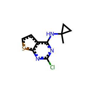 CC1(Nc2nc(Cl)nc3sccc23)CC1